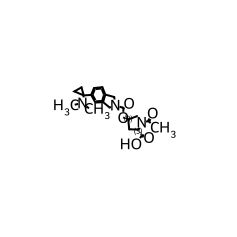 CC(=O)N1C[C@H](OC(=O)N2Cc3ccc(C4(N(C)C)CC4)cc3C2)C[C@H]1C(=O)O